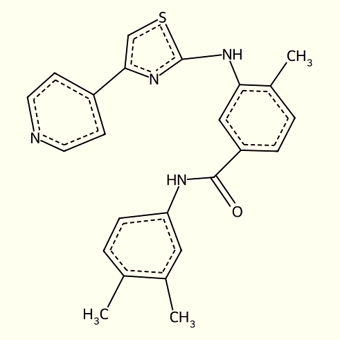 Cc1ccc(NC(=O)c2ccc(C)c(Nc3nc(-c4ccncc4)cs3)c2)cc1C